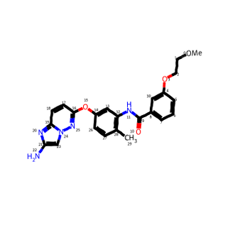 COCCOc1cccc(C(=O)Nc2cc(Oc3ccc4nc(N)cn4n3)ccc2C)c1